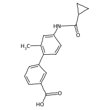 Cc1cc(NC(=O)C2CC2)ccc1-c1cccc(C(=O)O)c1